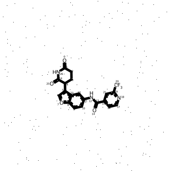 O=C1CCC(c2coc3ccc(NC(=O)c4ccnc(C(F)(F)F)c4)cc23)C(=O)N1